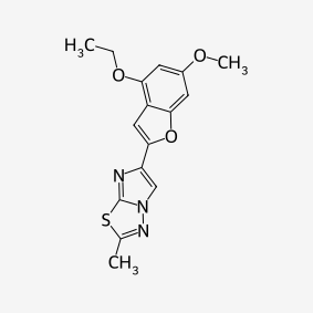 CCOc1cc(OC)cc2oc(-c3cn4nc(C)sc4n3)cc12